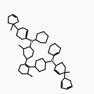 CC1CCCC(C2CCC(N(C3=CCC(C4(C)CC=CCC4)CC3)C3CCCCC3)C(C)C2)=C1C1CCC(N(C2=CCCCC2)C2C=CC(C)(C3C=CC=CC3)CC2)CC1